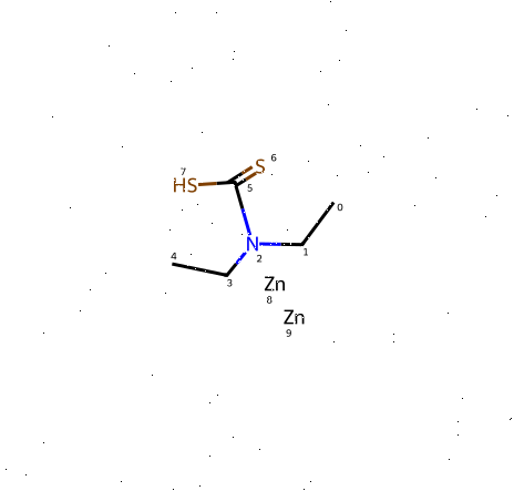 CCN(CC)C(=S)S.[Zn].[Zn]